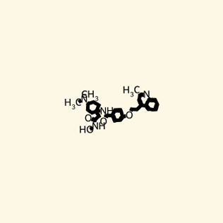 Cc1cc(CCOc2ccc(C(=O)NC3(CC(=O)NO)CCC(N(C)C)CC3)cc2)c2ccccc2n1